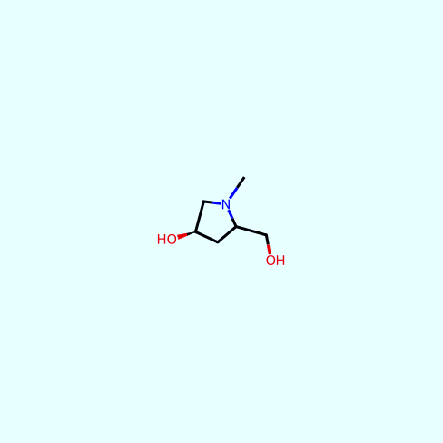 CN1C[C@H](O)CC1CO